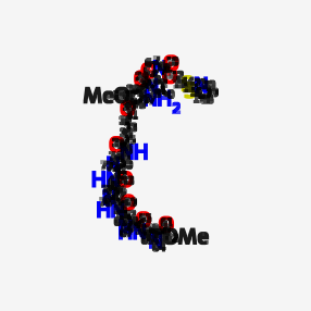 C=C1C[C@@H](C2OCCN2C(=O)OCCSSc2ccccn2)N(C(=O)c2cc(OC)c(OCCCCCC(=O)Nc3cc(C(=O)Nc4cc(C(=O)Nc5cc(C(=O)Nc6cc(C(=O)OC)n(C)c6)n(C)c5)n(C)c4)n(C)c3)cc2N)C1